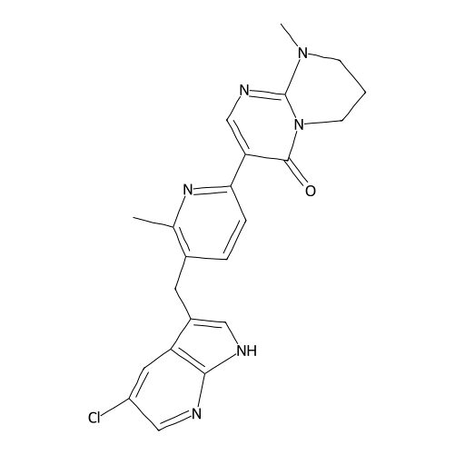 Cc1nc(-c2cnc3n(c2=O)CCCN3C)ccc1Cc1c[nH]c2ncc(Cl)cc12